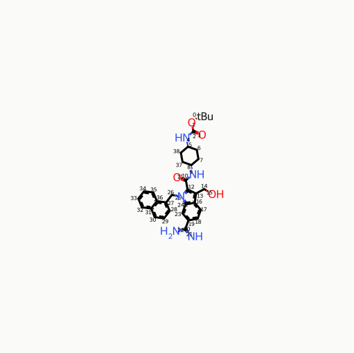 CC(C)(C)OC(=O)N[C@H]1CC[C@H](NC(=O)c2c(CO)c3ccc(C(=N)N)cc3n2Cc2cccc3ccccc23)CC1